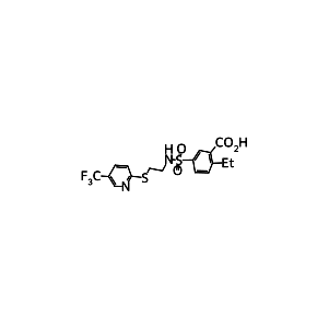 CCc1ccc(S(=O)(=O)NCCSc2ccc(C(F)(F)F)cn2)cc1C(=O)O